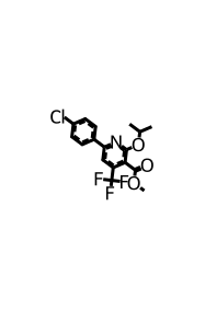 COC(=O)c1c(C(F)(F)F)cc(-c2ccc(Cl)cc2)nc1OC(C)C